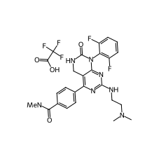 CNC(=O)c1ccc(-c2nc(NCCN(C)C)nc3c2CNC(=O)N3c2c(F)cccc2F)cc1.O=C(O)C(F)(F)F